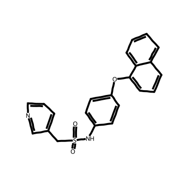 O=S(=O)(Cc1cccnc1)Nc1ccc(Oc2cccc3ccccc23)cc1